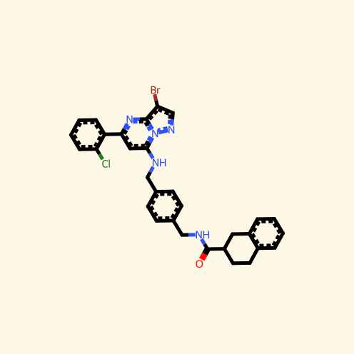 O=C(NCc1ccc(CNc2cc(-c3ccccc3Cl)nc3c(Br)cnn23)cc1)C1CCc2ccccc2C1